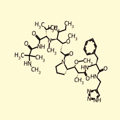 CC[C@H](C)[C@@H]([C@@H](CC(=O)N1CCC[C@H]1[C@H](OC)[C@@H](C)C(=O)N[C@@H](Cc1ccccc1)C(=O)NCc1c[nH]nn1)OC)N(C)[C@H](C(=O)NC(=O)C(C)(C)NC)C(C)C